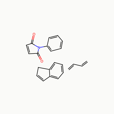 C1=Cc2ccccc2C1.C=CC=C.O=C1C=CC(=O)N1c1ccccc1